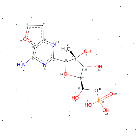 C[C@]1(O)C(c2nc(N)c3occc3n2)O[C@H](C(O)OP(=O)(O)O)[C@H]1O